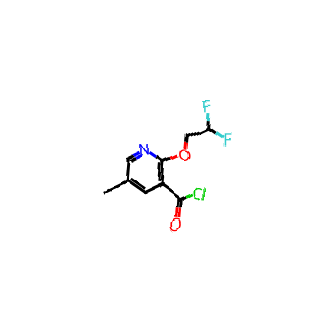 Cc1cnc(OCC(F)F)c(C(=O)Cl)c1